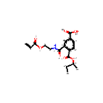 C=CC(=O)OCCNC(=O)c1cc(C(=O)O)ccc1C(=O)OC(C)CC